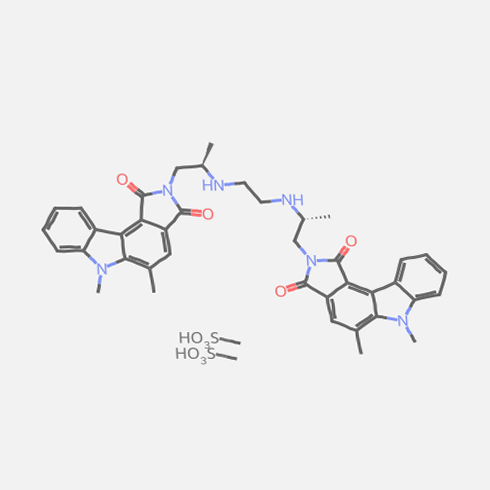 CS(=O)(=O)O.CS(=O)(=O)O.Cc1cc2c(c3c4ccccc4n(C)c13)C(=O)N(C[C@@H](C)NCCN[C@H](C)CN1C(=O)c3cc(C)c4c(c3C1=O)c1ccccc1n4C)C2=O